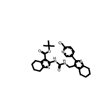 CC(C)(C)OC(=O)c1c(NC(=O)NCc2c(-c3ccc(Cl)nc3)sc3c2CCCC3)sc2c1CCCC2